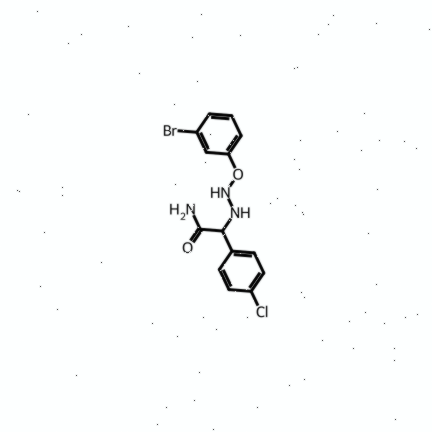 NC(=O)C(NNOc1cccc(Br)c1)c1ccc(Cl)cc1